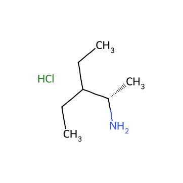 CCC(CC)[C@H](C)N.Cl